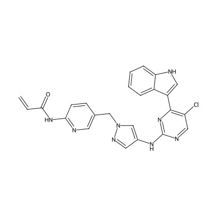 C=CC(=O)Nc1ccc(Cn2cc(Nc3ncc(Cl)c(-c4c[nH]c5ccccc45)n3)cn2)cn1